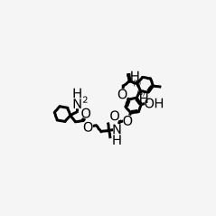 C=C1COc2cc(OC(=O)NC(C)(C)CCOC(=O)CC3(CN)CCCCC3)cc(O)c2[C@@H]2C=C(C)CC[C@@H]12